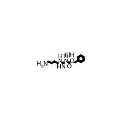 Cl.N=C(NCCCCN)NC(=O)OCc1ccccc1